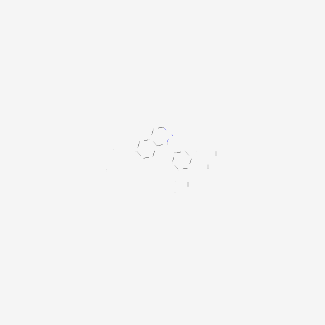 BC(B)(B)c1cc(-c2nccc3cc(C(C)CC)ccc23)cc(C(B)(B)B)c1